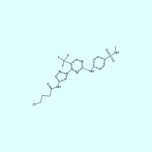 CNS(=O)(=O)c1ccc(Nc2ncc(C(F)(F)F)c(-n3cc(NC(=O)CCCCl)cn3)n2)cc1